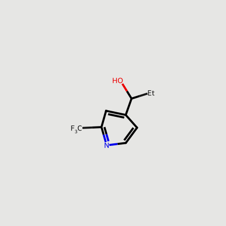 CCC(O)c1ccnc(C(F)(F)F)c1